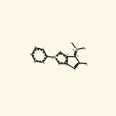 CC1=Cc2cn(-c3ccccc3)cc2C1=[Si](C)C